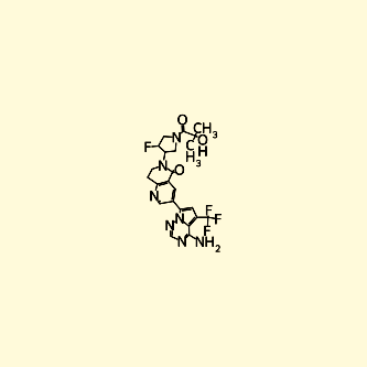 CC(C)(O)C(=O)N1CC(F)C(N2CCc3ncc(-c4cc(C(F)(F)F)c5c(N)ncnn45)cc3C2=O)C1